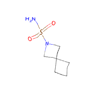 NS(=O)(=O)N1CC2(CCC2)C1